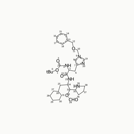 CC(C)(C)OC(=O)NC(Cc1cn(COCc2ccccc2)cn1)C(=O)NC(CC1CCCCC1)C(OC=O)C1CCCN1